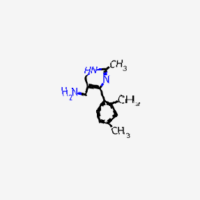 CC1=NC(c2ccc(C)cc2C)=C(CN)CN1